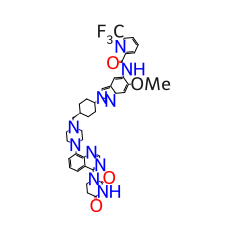 COc1cc2nn([C@H]3CC[C@H](CN4CCN(c5cccc6c(N7CCC(=O)NC7=O)ncnc56)CC4)CC3)cc2cc1NC(=O)c1cccc(C(F)(F)F)n1